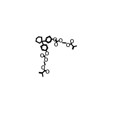 C=C(C)C(=O)OCCOC(=O)Oc1ccc(C2(c3ccc(OC(=O)OCCOC(=O)C(=C)C)cc3)CCCCC2)cc1